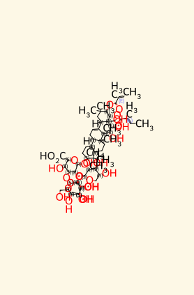 C/C=C(\C)C(=O)O[C@H]1[C@H](OC(=O)/C(C)=C/C)[C@]2(CO)[C@H](O)[C@H](O)[C@]3(C)C(=CC[C@@H]4[C@@]5(C)CC[C@H](O[C@@H]6O[C@H](C(=O)O)[C@@H](O)[C@H](O[C@@H]7OC[C@H](O)[C@H](O)[C@H]7O[C@@H]7OC[C@@H](O)[C@H](O)[C@H]7O)[C@H]6O[C@@H]6O[C@H](CO)[C@H](O)[C@H](O)[C@H]6O)C(C)(C)[C@@H]5CC[C@]43C)[C@@H]2CC1(C)C